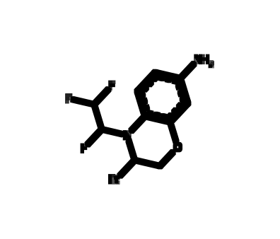 CCC1COc2cc(N)ccc2N1C(F)C(F)F